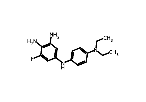 CCN(CC)c1ccc(Nc2cc(N)c(N)c(F)c2)cc1